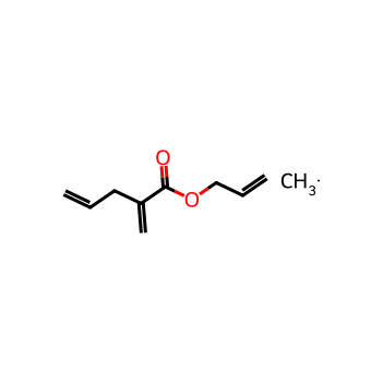 C=CCOC(=O)C(=C)CC=C.[CH3]